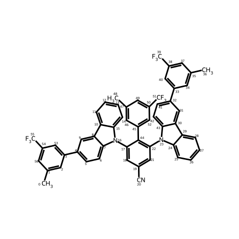 Cc1cc(-c2ccc3c(c2)c2ccccc2n3-c2cc(C#N)cc(-n3c4ccccc4c4cc(-c5cc(C)cc(C(F)(F)F)c5)ccc43)c2-c2cc(C)cc(C(F)(F)F)c2)cc(C(F)(F)F)c1